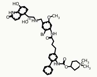 COc1cc(NC(=O)CCCc2ccc(-c3ccccc3)c(NC(=O)OC3CC[N+](C)(C)CC3)c2)c(Br)cc1CNC[C@H](O)c1ccc(O)c2[nH]c(=O)ccc12